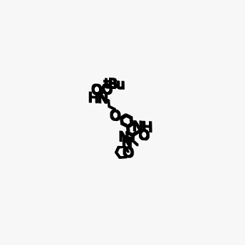 Cc1c2c(=O)[nH]c3ccc(OCCCNC(=O)OC(C)(C)C)cc3c2nn1C1CCCCO1